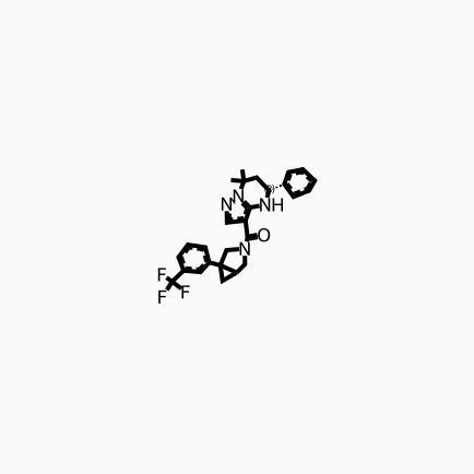 CC1(C)C[C@H](c2ccccc2)Nc2c(C(=O)N3CC4CC4(c4cccc(C(F)(F)F)c4)C3)cnn21